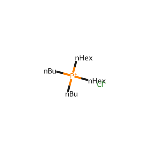 CCCCCC[P+](CCCC)(CCCC)CCCCCC.[Cl-]